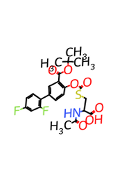 CC(=O)NC(CSC(=O)Oc1ccc(-c2ccc(F)cc2F)cc1C(=O)OC(C)(C)C)C(=O)O